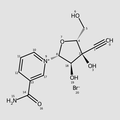 C#C[C@@]1(O)[C@@H](CO)O[C@@H]([n+]2cccc(C(N)=O)c2)[C@@H]1O.[Br-]